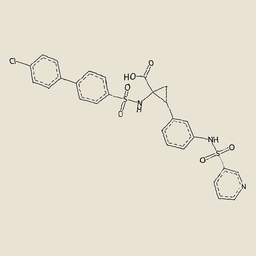 O=C(O)C1(NS(=O)(=O)c2ccc(-c3ccc(Cl)cc3)cc2)CC1c1cccc(NS(=O)(=O)c2cccnc2)c1